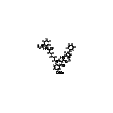 COc1ccc2c(c1)c(=O)c(C(=O)Nc1cc(-c3ccccc3)nn1C)cn2CCCCCC(=O)Nc1ccccc1N